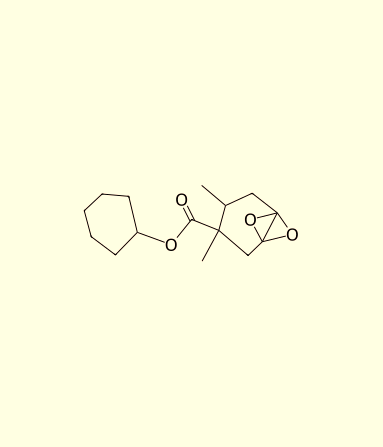 CC1CC23OC2(CC1(C)C(=O)OC1CCCCC1)O3